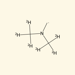 [2H]C([2H])([2H])N([CH2])C([2H])([2H])[2H]